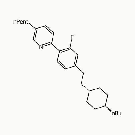 CCCCCc1ccc(-c2ccc(CC[C@H]3CC[C@H](CCCC)CC3)cc2F)nc1